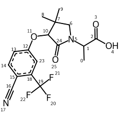 CC(C(=O)O)N1CC(C)(C)C(Oc2ccc(C#N)c(C(F)(F)F)c2)C1=O